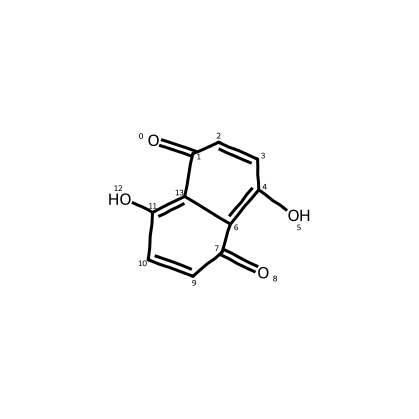 O=C1C=CC(O)=C2C(=O)C=CC(O)=C12